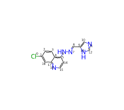 Clc1ccc2c(N/N=C/c3cnc[nH]3)ccnc2c1